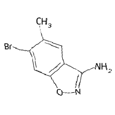 Cc1cc2c(N)noc2cc1Br